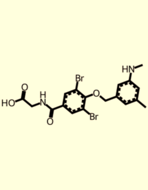 CNc1cc(C)cc(COc2c(Br)cc(C(=O)NCC(=O)O)cc2Br)c1